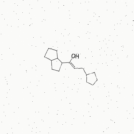 OC(=CCC1CCCC1)C1CCC2CCCC21